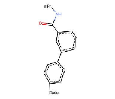 CCCNC(=O)c1cccc(-c2ccc(OC)cc2)c1